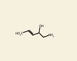 NCC(O)/C=C/C(=O)O